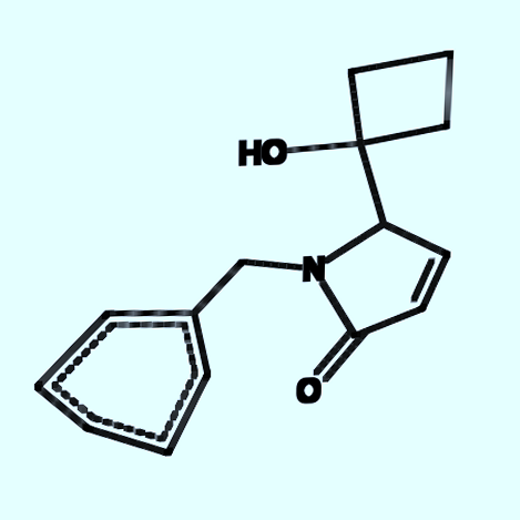 O=C1C=CC(C2(O)CCC2)N1Cc1ccccc1